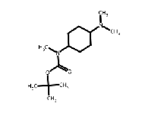 CN(C)C1CCC(N(C)C(=O)OC(C)(C)C)CC1